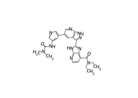 CCN(CC)C(=O)c1ccnc2[nH]c(-c3n[nH]c4ncc(-c5cncc(NC(=O)N(C)C)c5)cc34)nc12